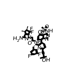 C[C@@H]1c2c(N)nn(CC(=O)N[C@@H](Cc3cc(F)cc(F)c3)c3nc(C#CC(C)(C)O)ccc3-c3ccc(Cl)c4c(NS(C)(=O)=O)nn(C)c34)c2C(F)(F)[C@@H]1C